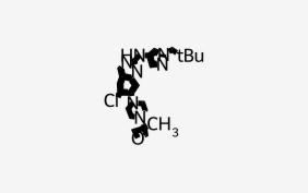 CC(C)(C)Cn1cc(Nc2ncc3cc(Cl)c(N4CCN(C5(C)COC5)CC4)cc3n2)cn1